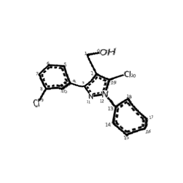 OCc1c(-c2cccc(Cl)c2)nn(-c2ccccc2)c1Cl